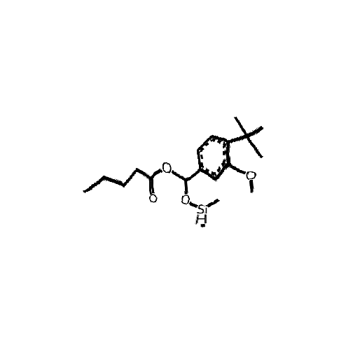 CCCCC(=O)OC(O[SiH](C)C)c1ccc(C(C)(C)C)c(OC)c1